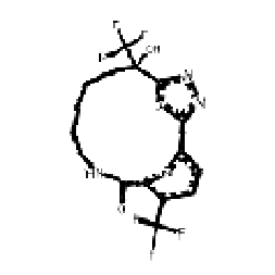 O=C1NCCCCCC(O)(C(F)(F)F)c2nnc(o2)-c2ccc(C(F)(F)F)c1n2